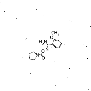 COc1ccccc1C(N)=NOC(=O)N1CCCC1